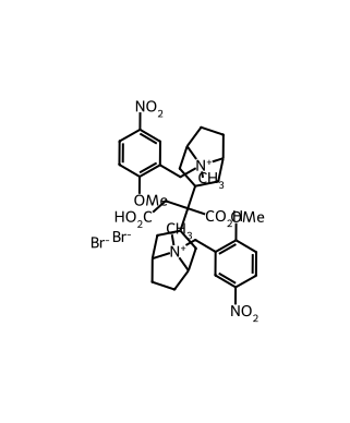 COc1ccc([N+](=O)[O-])cc1C[N+]1(C)C2CCC1CC(C(CC(=O)O)(C(=O)O)C1CC3CCC(C1)[N+]3(C)Cc1cc([N+](=O)[O-])ccc1OC)C2.[Br-].[Br-]